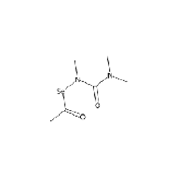 CC(=O)[Se]N(C)C(=O)N(C)C